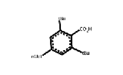 CCCCCCCCc1cc(C(C)(C)C)c(C(=O)O)c(C(C)(C)C)c1